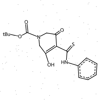 CC(C)(C)OC(=O)N1CC(=O)C(C(=S)Nc2ccccc2)=C(O)C1